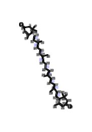 CC1=CC(=O)CC(C)(C)[C@@H]1/C=C/C(C)=C/C=C/C(C)=C/C=C/C=C(C)/C=C/C=C(C)/C=C/[C@@H]1C(C)=CC(=O)CC1(C)C